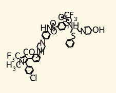 Cn1c(-c2ccc(Cl)cc2)c(-c2cccc(N3CCN(c4ccc(NS(=O)(=O)c5ccc(N[C@H](CCN6CCC(O)CC6)CSc6ccccc6)c(S(=O)(=O)C(F)(F)F)c5)cc4)CC3)c2)c(C(=O)O)c1C(F)(F)F